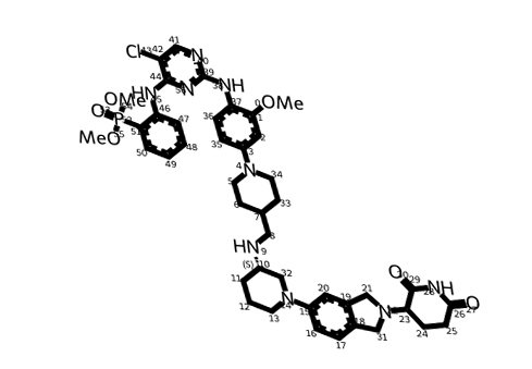 COc1cc(N2CCC(CN[C@H]3CCCN(c4ccc5c(c4)CN(C4CCC(=O)NC4=O)C5)C3)CC2)ccc1Nc1ncc(Cl)c(Nc2ccccc2P(=O)(OC)OC)n1